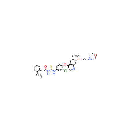 COc1cc2c(Oc3ccc(NC(=S)NC(=O)Cc4ccccc4C)cc3Cl)ccnc2cc1OCCCN1CCOCC1